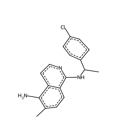 Cc1ccc2c(NC(C)c3ccc(Cl)cc3)nccc2c1N